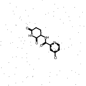 O=C1CCC(NC(=O)c2cc(Cl)ccn2)C(=O)N1